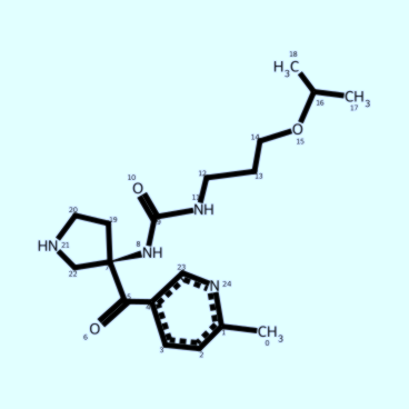 Cc1ccc(C(=O)[C@@]2(NC(=O)NCCCOC(C)C)CCNC2)cn1